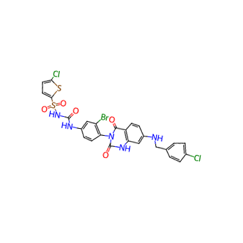 O=C(Nc1ccc(-n2c(=O)[nH]c3cc(NCc4ccc(Cl)cc4)ccc3c2=O)c(Br)c1)NS(=O)(=O)c1ccc(Cl)s1